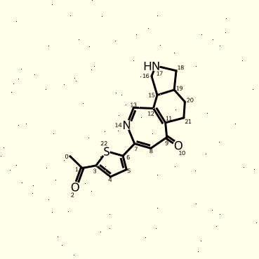 CC(=O)c1ccc(-c2cc(=O)c3c(cn2)C2CNCC2CC3)s1